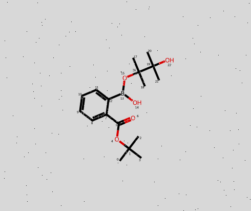 CC(C)(C)OC(=O)c1ccccc1B(O)OC(C)(C)C(C)(C)O